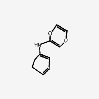 C1=CCCC(NC2=COC=CO2)=C1